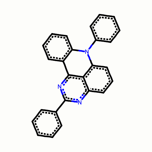 c1ccc(-c2nc3c4c(cccc4n2)N(c2ccccc2)c2ccccc2-3)cc1